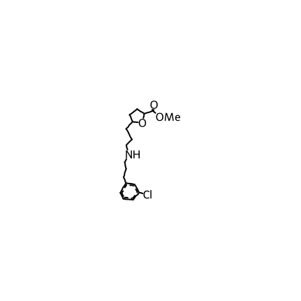 COC(=O)C1CCC(CCCNCCCc2cccc(Cl)c2)O1